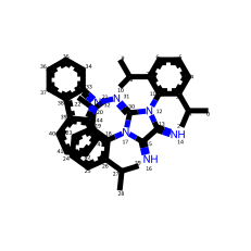 CC(C)c1cccc(C(C)C)c1N1C(=N)C(=N)N(c2c(C(C)C)cccc2C(C)C)C1=Nn1c2ccccc2c2ccccc21